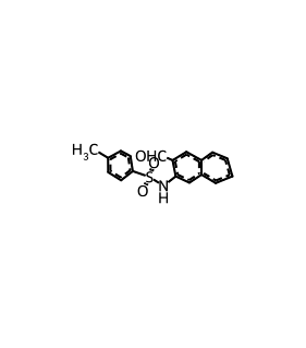 Cc1ccc(S(=O)(=O)Nc2cc3ccccc3cc2C=O)cc1